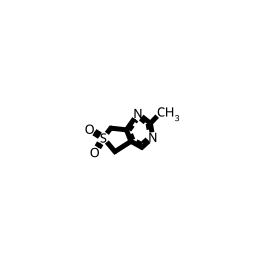 Cc1ncc2c(n1)CS(=O)(=O)C2